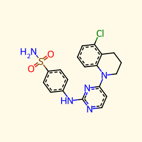 NS(=O)(=O)c1ccc(Nc2nccc(N3CCCc4c(Cl)cccc43)n2)cc1